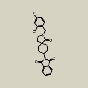 O=C1c2ccccc2C(=O)N1C1CCC2(CC1)CCN(Cc1ccc(F)cc1Cl)C2=O